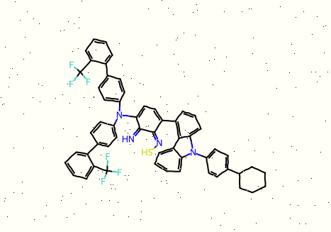 N=C1C(N(c2ccc(-c3ccccc3C(F)(F)F)cc2)c2ccc(-c3ccccc3C(F)(F)F)cc2)=CC=C(c2cccc3c2c2ccccc2n3-c2ccc(C3CCCCC3)cc2)/C1=N/S